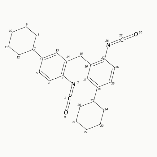 O=C=Nc1ccc(C2CCCCC2)cc1Cc1cc(C2CCCCC2)ccc1N=C=O